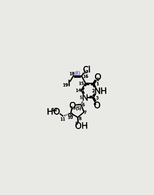 O=c1[nH]c(=O)n([C@@H]2CC(O)[C@H](CO)O2)cc1/C(Cl)=C\I